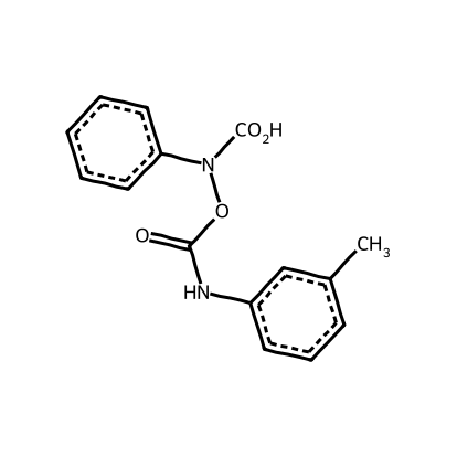 Cc1cccc(NC(=O)ON(C(=O)O)c2ccccc2)c1